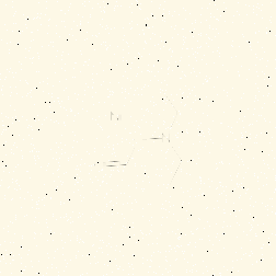 CCN(CC)OC=O.[Ni]